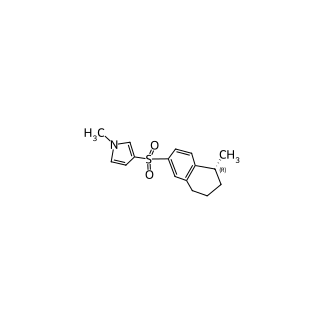 C[C@@H]1CCCc2cc(S(=O)(=O)c3ccn(C)c3)ccc21